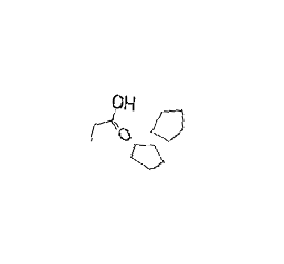 C1CCCC1.C1CCCC1.CCC(=O)O